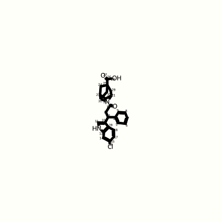 O=C(CC(c1ccccc1)c1c[nH]c2cc(Cl)ccc12)N1C2CC3CC(C(=O)O)(C2)CC31